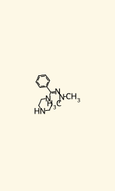 CN(C)N=C(c1ccccc1)N1CCNCC1